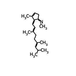 C/N=C1/CC=C(C)/C1=C/C=C(\C)CC/C(C)=C/C(C)C